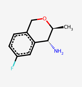 C[C@@H]1OCc2ccc(F)cc2[C@H]1N